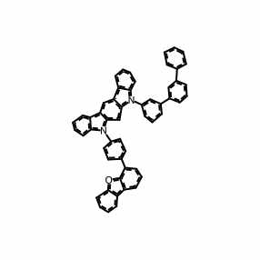 c1ccc(-c2cccc(-c3cccc(-n4c5ccccc5c5cc6c7ccccc7n(-c7ccc(-c8cccc9c8oc8ccccc89)cc7)c6cc54)c3)c2)cc1